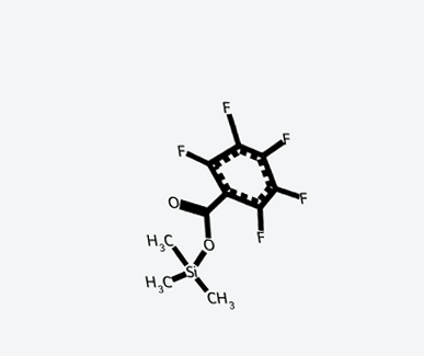 C[Si](C)(C)OC(=O)c1c(F)c(F)c(F)c(F)c1F